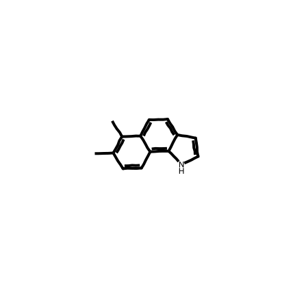 Cc1ccc2c(ccc3cc[nH]c32)c1C